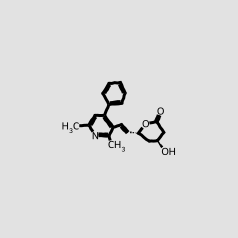 Cc1cc(-c2ccccc2)c(/C=C/[C@H]2C[C@H](O)CC(=O)O2)c(C)n1